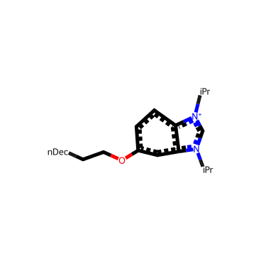 CCCCCCCCCCCCOc1ccc2c(c1)n(C(C)C)c[n+]2C(C)C